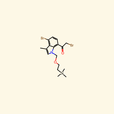 Cc1cn(COCC[Si](C)(C)C)c2c(C(=O)CBr)ccc(Br)c12